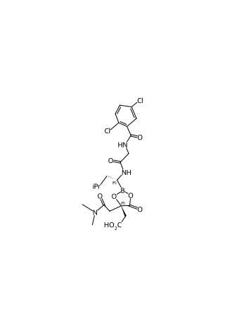 CC(C)C[C@H](NC(=O)CNC(=O)c1cc(Cl)ccc1Cl)B1OC(=O)[C@](CC(=O)O)(CC(=O)N(C)C)O1